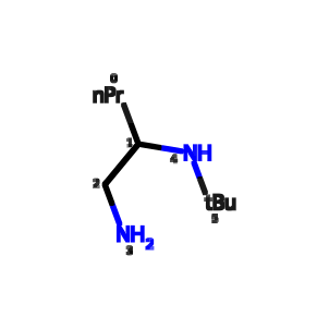 CCCC(CN)NC(C)(C)C